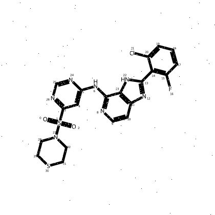 O=S(=O)(c1cc(Nc2nccc3nc(-c4c(F)cccc4Cl)[nH]c23)ncn1)N1CCSCC1